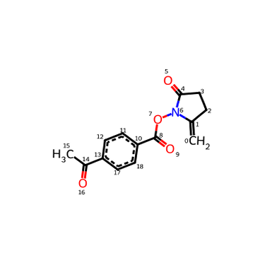 C=C1CCC(=O)N1OC(=O)c1ccc(C(C)=O)cc1